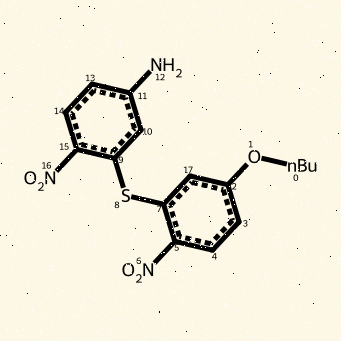 CCCCOc1ccc([N+](=O)[O-])c(Sc2cc(N)ccc2[N+](=O)[O-])c1